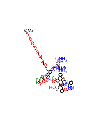 COCCOCCOCCOCCOCCOCCOCCOCCOCCCc1cc(NC(=O)[C@H](CCCNC(N)=O)NC(=O)[C@@H](N)C(C)C)ccc1C[N+]1(C)CCN(CCOc2ccc(-c3c(-c4ccc(F)cc4)sc4ncnc(O[C@H](Cc5ccccc5OCc5ccnc(-c6ccccc6OC)n5)C(=O)O)c34)c(C)c2Cl)CC1.O=C(O)C(F)(F)F.O=C([O-])C(F)(F)F